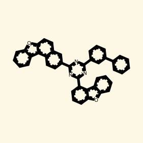 c1ccc(-c2cccc(-c3nc(-c4ccc5c(ccc6oc7ccccc7c65)c4)nc(-c4cccc5oc6ccccc6c45)n3)c2)cc1